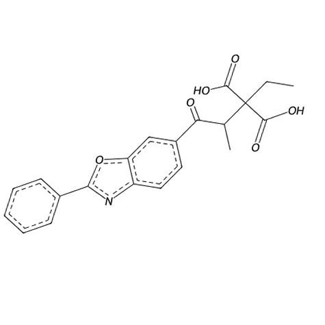 CCC(C(=O)O)(C(=O)O)C(C)C(=O)c1ccc2nc(-c3ccccc3)oc2c1